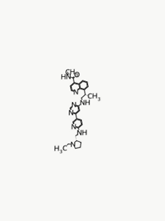 CCN1CCC[C@H]1CNc1ccc(-c2cc(NC[C@@H](C)c3cccc4c(C(=O)NC)ccnc34)ncn2)cn1